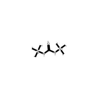 C[Si](C)(C)[N]C(=O)[N][Si](C)(C)C